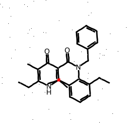 CCc1cccc(CC)c1N(Cc1ccccc1)C(=O)c1c(C)[nH]c(CC)c(C)c1=O